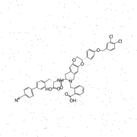 N#Cc1ccc(-c2ccc(C[C@H](NC(=O)C3Cc4cc5c(cc4CN3Cc3ccccc3C(=O)O)O[C@@H](c3ccc(OCc4ccc(Cl)c(Cl)c4)cc3)CO5)C(=O)O)cc2)cc1